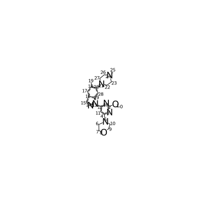 COc1nc(N2CCOCC2)cc(-n2ncc3cc(C)c(N4CCN(C)CC4)cc32)n1